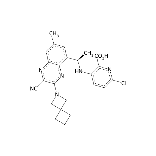 Cc1cc([C@@H](C)Nc2ccc(Cl)nc2C(=O)O)c2nc(N3CC4(CCC4)C3)c(C#N)nc2c1